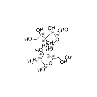 N[C@@H]1[C@@H](O)[C@H](O)[C@@H](CO)O[C@H]1O.O=C[C@H](OS(=O)(=O)O)[C@@H](O)[C@@H](O)[C@H](O)CO.[Cu]